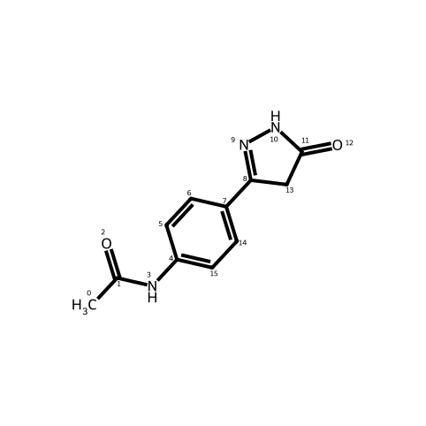 CC(=O)Nc1ccc(C2=NNC(=O)C2)cc1